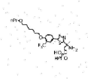 CCCOCCCCCCOc1ccc(-c2nnc([C@@](C)(N)COP(=O)(O)O)s2)cc1C(F)(F)F